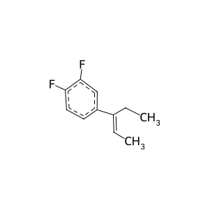 C/C=C(\CC)c1ccc(F)c(F)c1